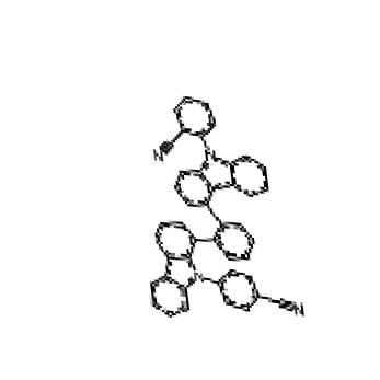 N#Cc1ccc(-n2c3ccccc3c3cccc(-c4ccccc4-c4cccc5c4c4ccccc4n5-c4ccccc4C#N)c32)cc1